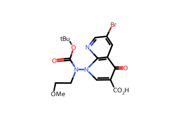 COCCN(C(=O)OC(C)(C)C)n1cc(C(=O)O)c(=O)c2cc(Br)cnc21